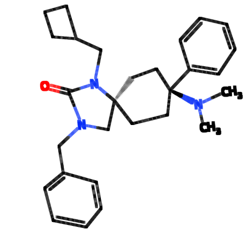 CN(C)[C@]1(c2ccccc2)CC[C@]2(CC1)CN(Cc1ccccc1)C(=O)N2CC1CCC1